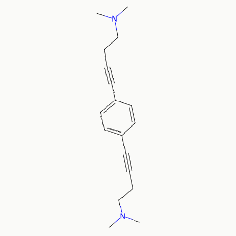 CN(C)CCC#Cc1ccc(C#CCCN(C)C)cc1